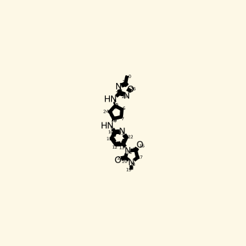 Cc1nc(N[C@H]2CC[C@H](Nc3ccc(N4C(=O)CN(C)C4=O)cn3)C2)no1